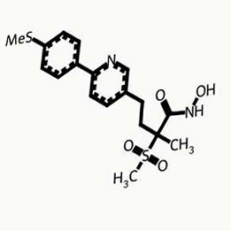 CSc1ccc(-c2ccc(CCC(C)(C(=O)NO)S(C)(=O)=O)cn2)cc1